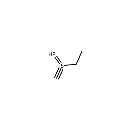 C#S(=P)CC